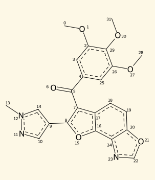 COc1cc(C(=O)c2c(-c3cnn(C)c3)oc3c2ccc2ocnc23)cc(OC)c1OC